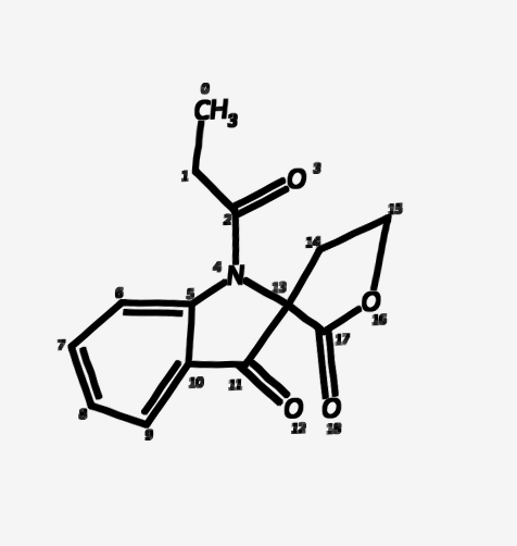 CCC(=O)N1c2ccccc2C(=O)C12CCOC2=O